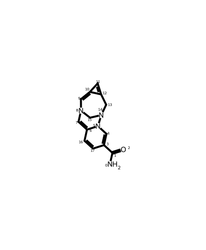 NC(=O)C1=CN2C(=CN3C=C4C=C4CN2C3)C=C1